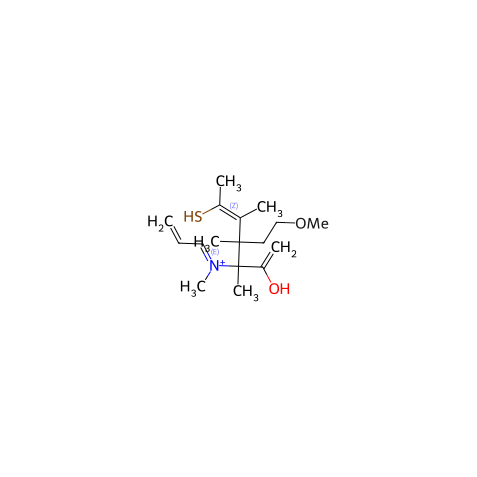 C=C/C=[N+](\C)C(C)(C(=C)O)C(C)(CCOC)/C(C)=C(/C)S